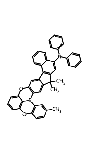 Cc1ccc2c(c1)B1c3cc4c(cc3Oc3cccc(c31)O2)-c1c(cc(N(c2ccccc2)c2ccccc2)c2ccccc12)C4(C)C